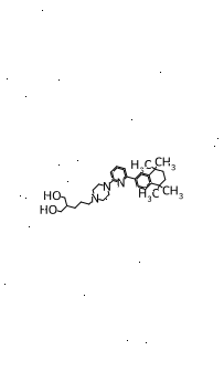 CC1(C)CCC(C)(C)c2cc(-c3cccc(N4CCN(CCCC(CO)CO)CC4)n3)ccc21